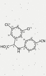 N#Cc1ccc(NC(C(=O)O)c2cc(Cl)cc(Cl)c2)cc1